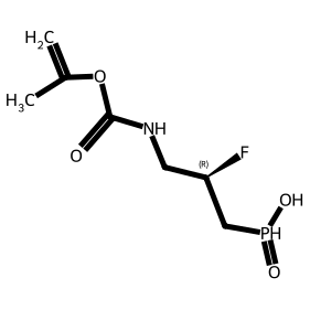 C=C(C)OC(=O)NC[C@@H](F)C[PH](=O)O